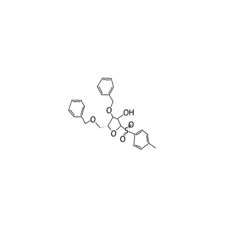 Cc1ccc(S(=O)(=O)C2O[C@H](COCc3ccccc3)C(OCc3ccccc3)C2O)cc1